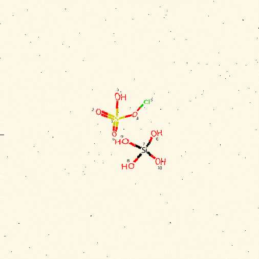 O=S(=O)(O)OCl.O[Si](O)(O)O